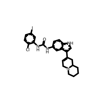 O=C(Nc1ccc2[nH]cc(C3=CCN4CCCCC4C3)c2c1)Nc1cc(I)ccc1Cl